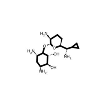 N[C@@H]1C[C@H](N)C(O[C@H]2O[C@H]([C@@H](N)C3CC3)CC[C@@H]2N)[C@H](O)[C@H]1O